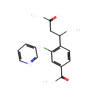 COC(=O)CC(c1ccc(C(=O)OC)cc1Br)S(=O)(=O)O.c1ccncc1